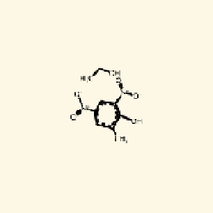 CCO.Cc1cc([N+](=O)[O-])cc([N+](=O)[O-])c1O